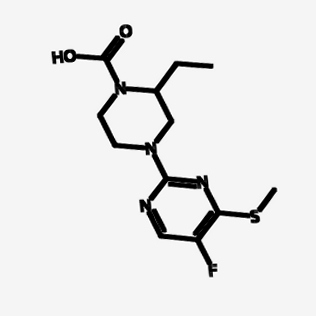 CCC1CN(c2ncc(F)c(SC)n2)CCN1C(=O)O